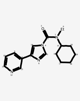 CCN(C(=O)n1cnc(-c2cccnc2)c1)C1CCCCC1